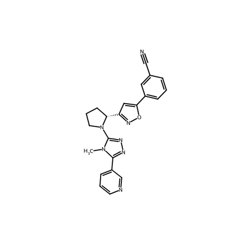 Cn1c(-c2cccnc2)nnc1N1CCC[C@@H]1c1cc(-c2cccc(C#N)c2)on1